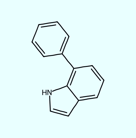 c1ccc(-c2cccc3cc[nH]c23)cc1